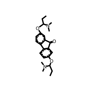 CCC(Oc1ccc2c(c1)C(=O)c1cc(OC(CC)N(C)C)ccc1-2)N(C)C